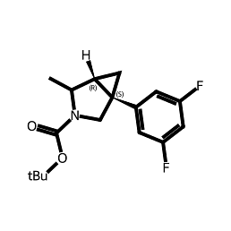 CC1[C@@H]2C[C@]2(c2cc(F)cc(F)c2)CN1C(=O)OC(C)(C)C